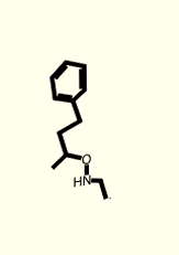 [CH2]CNOC(C)CCc1ccccc1